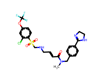 CN(Cc1ccc(C2=NCCN2)cc1)C(=O)/C=C/CNCS(=O)(=O)c1ccc(OC(F)(F)F)cc1Cl